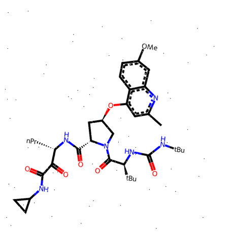 CCC[C@H](NC(=O)[C@@H]1C[C@@H](Oc2cc(C)nc3cc(OC)ccc23)CN1C(=O)[C@@H](NC(=O)NC(C)(C)C)C(C)(C)C)C(=O)C(=O)NC1CC1